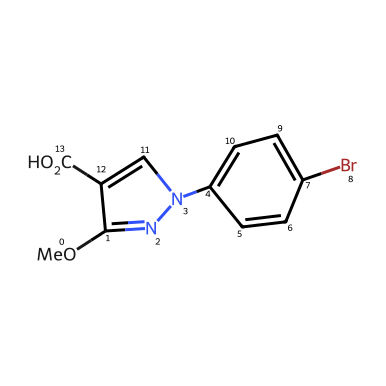 COc1nn(-c2ccc(Br)cc2)cc1C(=O)O